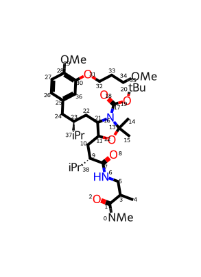 CNC(=O)C(C)CNC(=O)[C@@H](CC1OC(C)(C)N(C(=O)OC(C)(C)C)C1C[C@H](Cc1ccc(OC)c(OCCCOC)c1)C(C)C)C(C)C